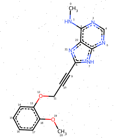 CNc1ncnc2[nH]c(C#CCOc3ccccc3OC)nc12